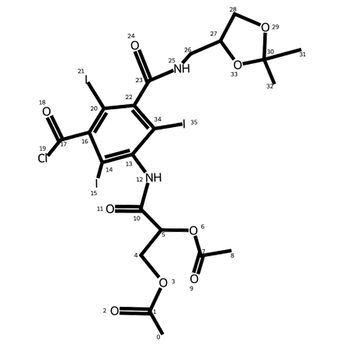 CC(=O)OCC(OC(C)=O)C(=O)Nc1c(I)c(C(=O)Cl)c(I)c(C(=O)NCC2COC(C)(C)O2)c1I